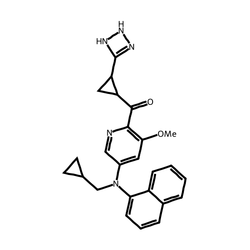 COc1cc(N(CC2CC2)c2cccc3ccccc23)cnc1C(=O)C1CC1c1n[nH][nH]1